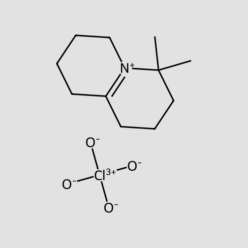 CC1(C)CCCC2=[N+]1CCCC2.[O-][Cl+3]([O-])([O-])[O-]